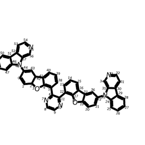 C1=CC2Oc3c(-c4nccnc4-c4cccc5c4oc4ccc(-n6c7ccccc7c7ccncc76)cc45)cccc3C2C=C1n1c2ccccc2c2ccncc21